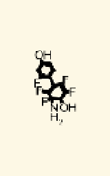 NC1(F)C(F)=C(c2ccc(O)cc2F)C(F)=C(F)C1O